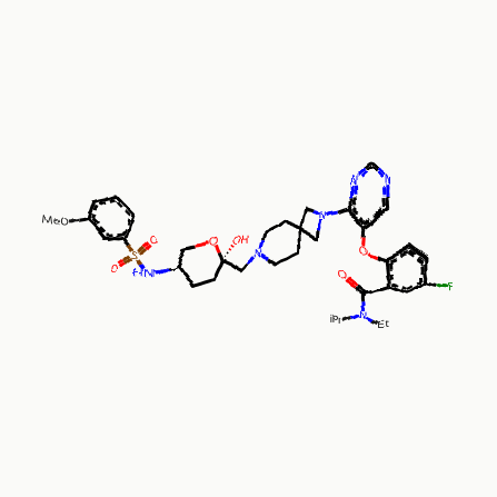 CCN(C(=O)c1cc(F)ccc1Oc1cncnc1N1CC2(CCN(C[C@@]3(O)CC[C@@H](NS(=O)(=O)c4cccc(OC)c4)CO3)CC2)C1)C(C)C